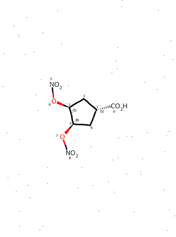 O=C(O)[C@H]1C[C@H](O[N+](=O)[O-])[C@H](O[N+](=O)[O-])C1